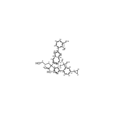 O=C(O)C(CCCO)(c1cc(-c2ccc(C3CC3)cc2C(F)(F)F)no1)n1cc2nc(-c3cccc(F)c3F)nc-2cn1